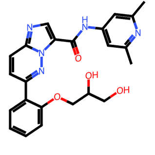 Cc1cc(NC(=O)c2cnc3ccc(-c4ccccc4OCC(O)CO)nn23)cc(C)n1